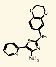 Nc1nc(Nc2ccc3c(c2)OCCO3)sc1-c1ccccn1